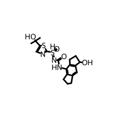 CC(C)(O)c1cnc(/[SH](=O)=N/C(=O)Nc2c3c(cc4c2CCC4O)CCC3)s1